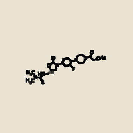 CC(=O)OCC(=O)N1CCN(c2ccc(N3C[C@H](CNC(=S)N(C)C)OC3=O)cc2F)CC1